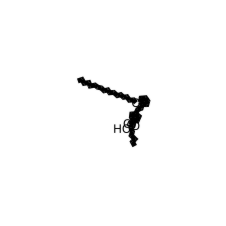 CCCCCCCCCCCCCCCCCCOc1ccccc1C=Cc1ccc(S(=O)(=O)C(O)CCCCC)cc1